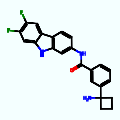 NC1(c2cccc(C(=O)Nc3ccc4c(c3)[nH]c3cc(F)c(F)cc34)c2)CCC1